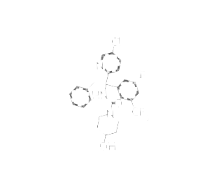 O=C(N[C@](Cc1ccccc1)(c1cc(F)cc(C(F)(F)F)c1)c1ccc(Cl)cn1)N1CCC(O)CC1